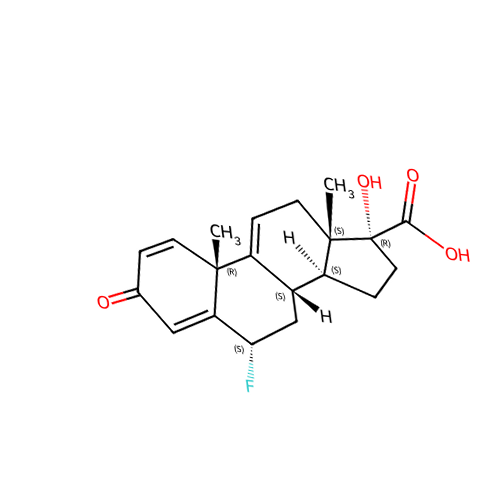 C[C@]12C=CC(=O)C=C1[C@@H](F)C[C@@H]1C2=CC[C@@]2(C)[C@H]1CC[C@]2(O)C(=O)O